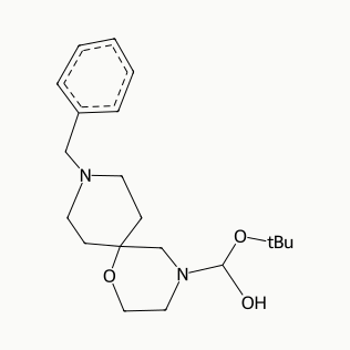 CC(C)(C)OC(O)N1CCOC2(CCN(Cc3ccccc3)CC2)C1